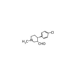 CN1CC[C@@H](c2ccc(Cl)cc2)C(C=O)C1